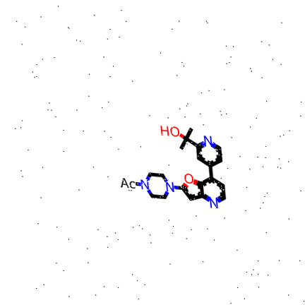 CC(=O)N1CCN(c2cc3nccc(-c4ccnc(C(C)(C)O)c4)c3o2)CC1